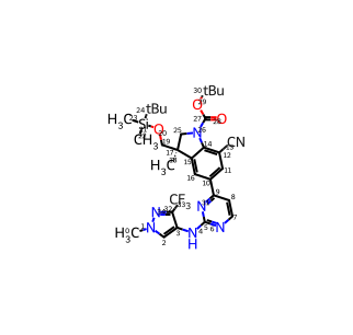 Cn1cc(Nc2nccc(-c3cc(C#N)c4c(c3)[C@@](C)(CO[Si](C)(C)C(C)(C)C)CN4C(=O)OC(C)(C)C)n2)c(C(F)(F)F)n1